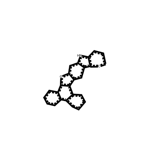 c1ccc2c(c1)[nH]c1cc3oc4c5ccccc5c5ccccc5c4c3cc12